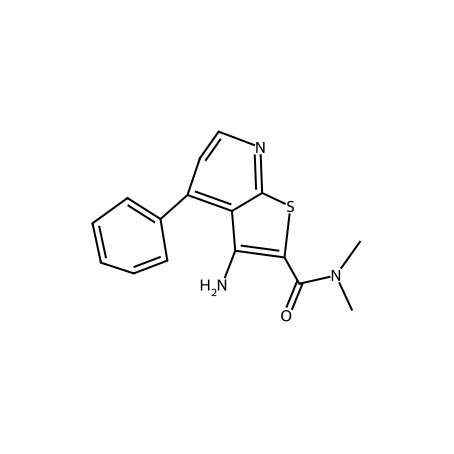 CN(C)C(=O)c1sc2nccc(-c3ccccc3)c2c1N